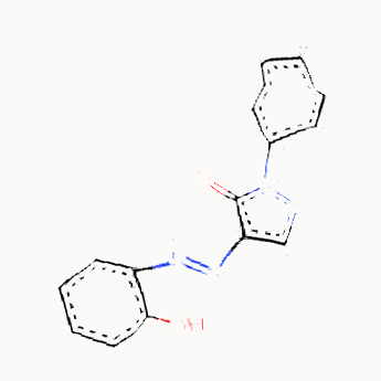 O=c1c(/N=N/c2ccccc2O)c[nH]n1-c1ccccc1